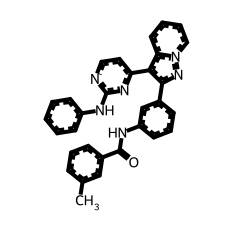 Cc1cccc(C(=O)Nc2cccc(-c3nn4ccccc4c3-c3ccnc(Nc4ccccc4)n3)c2)c1